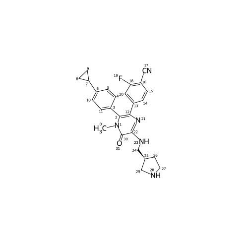 Cn1c(-c2ccc(C3CC3)cc2)c(-c2ccc(C#N)c(F)c2)nc(NC[C@H]2CCNC2)c1=O